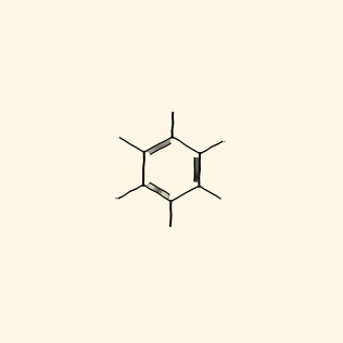 O=C(O)c1c(Cl)c(Cl)c(Cl)c(Br)c1Cl